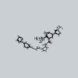 Cn1cc(-c2cnc(N)c(C(=O)N[C@H]3CCC[C@@H]3OCc3ccc(-n4nccn4)cc3)c2)cn1